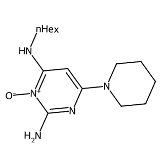 CCCCCCNc1cc(N2CCCCC2)nc(N)[n+]1[O-]